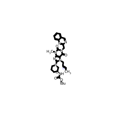 C/C=C/Cn1c(N2CCC[C@H](NC(=O)OC(C)(C)C)C2)nc2c1c(=O)n(Cc1ncc3ccccc3n1)c(=O)n2C